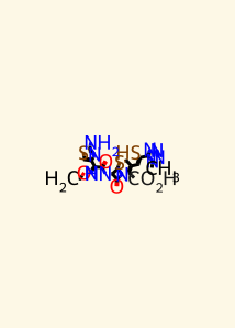 C=CON=C(C(=O)NC1C(=O)N2C(C(=O)O)=C(C=C(S)c3nnnn3C)CSC12)c1csc(N)n1